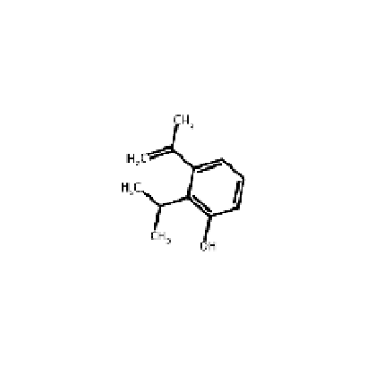 C=C(C)c1cccc(O)c1C(C)C